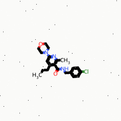 CCCc1cc(N2CCOCC2)nc(C)c1C(=O)NCc1ccc(Cl)cc1